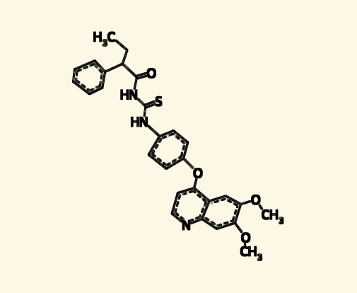 CCC(C(=O)NC(=S)Nc1ccc(Oc2ccnc3cc(OC)c(OC)cc23)cc1)c1ccccc1